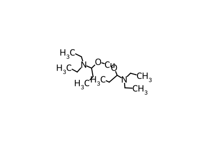 CCC([O][Cu][O]C(CC)N(CC)CC)N(CC)CC